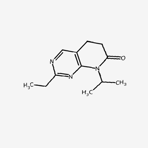 CCc1ncc2c(n1)N(C(C)C)C(=O)CC2